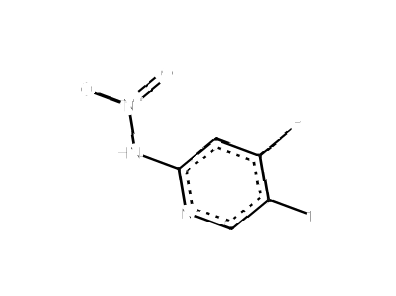 O=[N+]([O-])Nc1cc(F)c(F)cn1